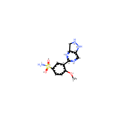 CCCOc1ccc(S(N)(=O)=O)cc1-c1ncc2c(n1)CNN2